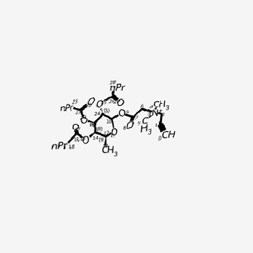 C#CC[N+](C)(C)CC(=O)OC1O[C@@H](C)[C@@H](OC(=O)CCC)[C@@H](OC(=O)CCC)[C@@H]1OC(=O)CCC